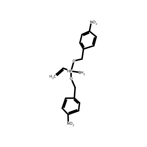 B[PH](C=C)(OCc1ccc([N+](=O)[O-])cc1)OCc1ccc([N+](=O)[O-])cc1